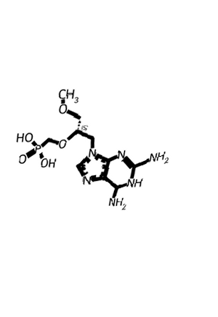 COC[C@H](Cn1cnc2c1N=C(N)NC2N)OCP(=O)(O)O